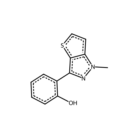 Cn1nc(-c2ccccc2O)c2sccc21